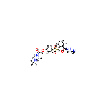 CC(C)(C)N1CCN(C(=O)COc2ccc(S(=O)(=O)CC3CCCCC3C(=O)NCC#N)cc2)CC1